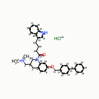 CN(C)CC1Cc2ccc(OCc3ccc(-c4ccccc4)cc3)cc2N(C(=O)CCCc2c[nH]c3ccccc23)C1.Cl